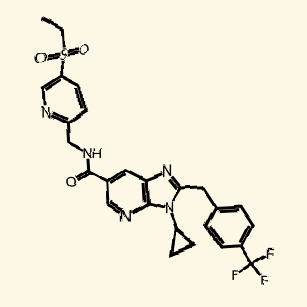 CCS(=O)(=O)c1ccc(CNC(=O)c2cnc3c(c2)nc(Cc2ccc(C(F)(F)F)cc2)n3C2CC2)nc1